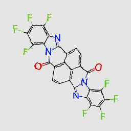 O=c1c2ccc3c4c(ccc(c24)c2nc4c(F)c(F)c(F)c(F)c4n12)c(=O)n1c3nc2c(F)c(F)c(F)c(F)c21